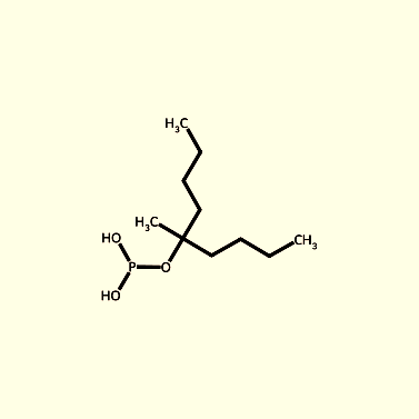 CCCCC(C)(CCCC)OP(O)O